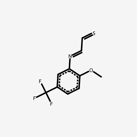 COc1ccc(C(F)(F)F)cc1N=CC=S